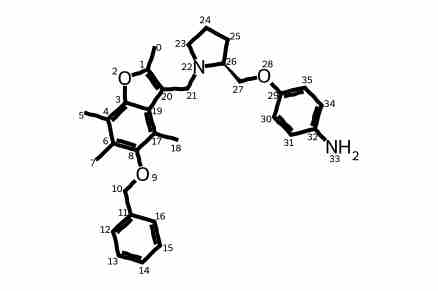 Cc1oc2c(C)c(C)c(OCc3ccccc3)c(C)c2c1CN1CCC[C@H]1COc1ccc(N)cc1